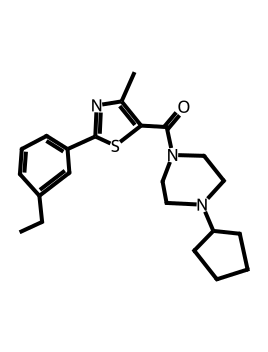 CCc1cccc(-c2nc(C)c(C(=O)N3CCN(C4CCCC4)CC3)s2)c1